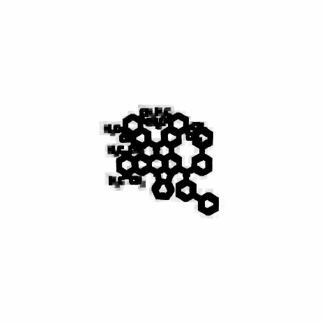 CC1(C)CCC(C)(C)c2cc(N3B4c5cc6c(cc5-n5c7ccccc7c7c(N(c8cccc(-c9ccccc9)c8)c8cccc(-c9ccccc9)c8)cc(c4c75)-c4cc5c(cc43)C(C)(C)CCC5(C)C)C(C)(C)CCC6(C)C)ccc21